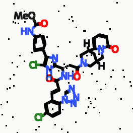 COC(=O)Nc1ccc(-c2nc([C@H](CC(=O)N3C[C@@H]4C[C@H](C3)c3cccc(=O)n3C4)NC(=O)/C=C/c3cc(Cl)ccc3-n3cnnn3)[nH]c2Cl)cc1